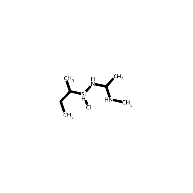 CCC(C)[SiH](Cl)NC(C)NC